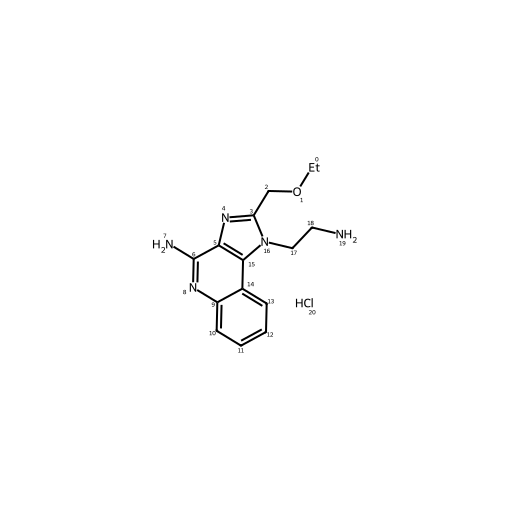 CCOCc1nc2c(N)nc3ccccc3c2n1CCN.Cl